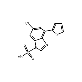 CCCCS(=O)(=O)n1cnc2c(-c3ccco3)nc(N)nc21